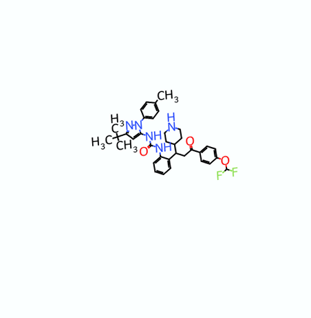 Cc1ccc(-n2nc(C(C)(C)C)cc2NC(=O)Nc2ccccc2C(CC(=O)c2ccc(OC(F)F)cc2)C2CCNCC2)cc1